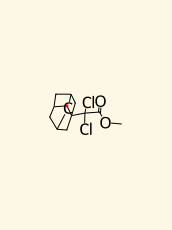 COC(=O)C(Cl)(Cl)C12CC3CC(CC(C3)C1)C2